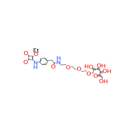 CCOc1c(Nc2ccc(CC(=O)NCCOCCOCCOC3O[C@H](CO)[C@@H](O)[C@H](O)[C@@H]3O)cc2)c(=O)c1=O